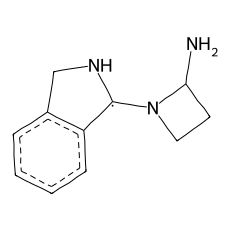 NC1CCN1[C]1NCc2ccccc21